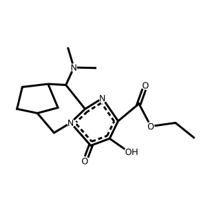 CCOC(=O)c1nc2n(c(=O)c1O)CC1CCC(C1)C2N(C)C